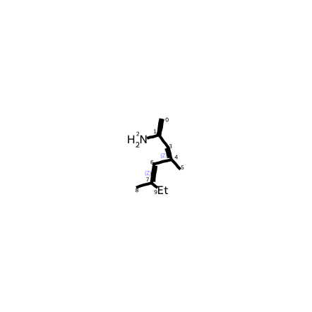 C=C(N)/C=C(C)\C=C(\C)CC